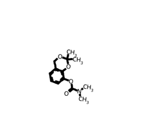 CN(C)C(=O)Oc1cccc2c1OC(C)(C)OC2